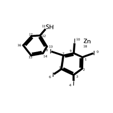 Ic1cc(I)c(I)c(I)c1I.Sc1ccccc1.[Zn]